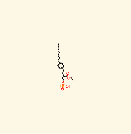 CCCCCCCCc1ccc(CCC(CCO[PH](=O)O)C(=O)OCC)cc1